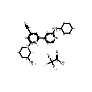 N#Cc1cc(-c2ccnc(NC3CCCCC3)c2)nc(N2CCCC(N)C2)c1.O=C(O)C(F)(F)F